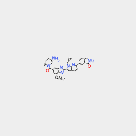 COc1cc(C(=O)N2C[C@@H](N)CC[C@@H]2C)cc2nc(-c3cc4ccc(-c5ccc6c(c5)C(=O)NC6)nc4n3CC3CC3)n(C)c12